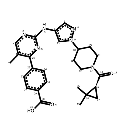 Cc1cnc(Nc2cnn(C3CCN(C(=O)[C@H]4CC4(C)C)CC3)c2)nc1-c1ccc(C(=O)O)cc1